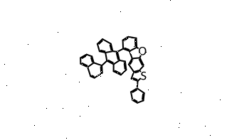 c1ccc(-c2cc3cc4c(cc3s2)oc2cccc(-c3c5ccccc5c(-c5cccc6ccccc56)c5ccccc35)c24)cc1